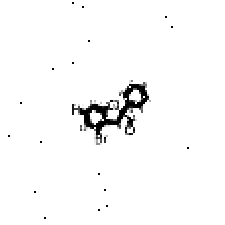 O=C[C@@]1(c2ccccc2)Cc2c(Br)cc(F)cc2O1